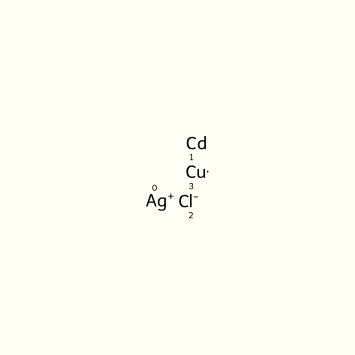 [Ag+].[Cd].[Cl-].[Cu]